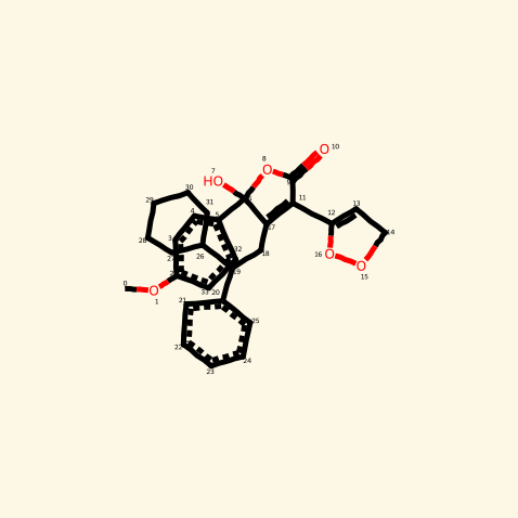 COc1ccc(C2(O)OC(=O)C(C3=CCOO3)=C2CC(c2ccccc2)C2CCCCC2)cc1